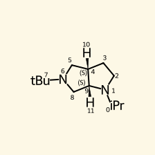 CC(C)N1CC[C@H]2CN(C(C)(C)C)C[C@H]21